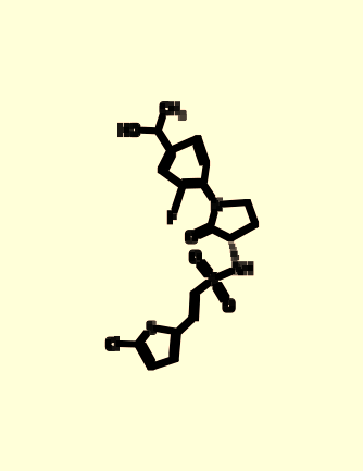 CC(O)c1ccc(N2CC[C@H](NS(=O)(=O)/C=C/c3ccc(Cl)s3)C2=O)c(F)c1